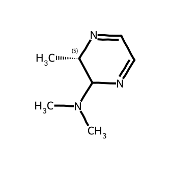 C[C@@H]1N=CC=NC1N(C)C